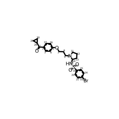 O=C(c1ccc(OCCCN2CCCC2NS(=O)(=O)c2ccc(Br)cc2)cc1)C1CC1